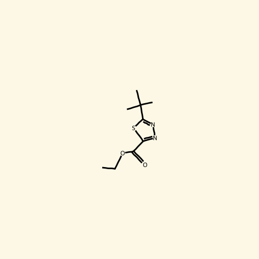 CCOC(=O)c1nnc(C(C)(C)C)s1